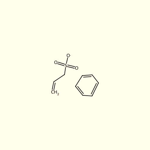 C=CCS([O])(=O)=O.c1ccccc1